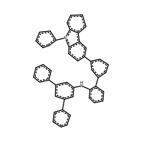 c1ccc(-c2cc(Nc3ccccc3-c3cccc(-c4ccc5c(c4)c4ccccc4n5-c4ccccc4)c3)cc(-c3ccccc3)c2)cc1